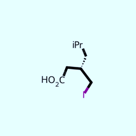 CC(C)C[C@H](CI)CC(=O)O